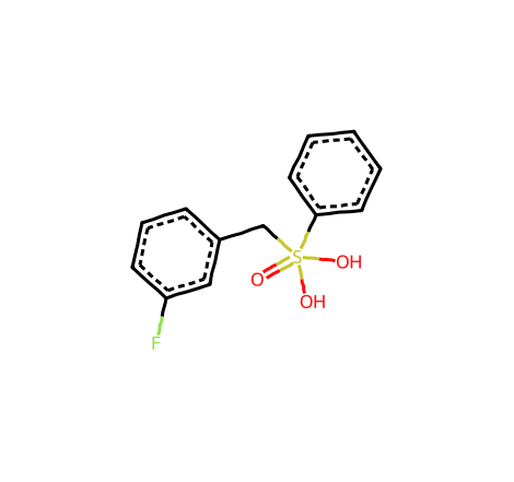 O=S(O)(O)(Cc1cccc(F)c1)c1ccccc1